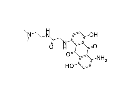 CN(C)CCNC(=O)CNc1ccc(O)c2c1C(=O)c1c(O)ccc(N)c1C2=O